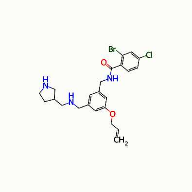 C=CCOc1cc(CNCC2CCNC2)cc(CNC(=O)c2ccc(Cl)cc2Br)c1